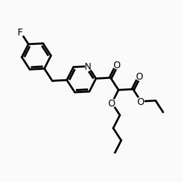 CCCCOC(C(=O)OCC)C(=O)c1ccc(Cc2ccc(F)cc2)cn1